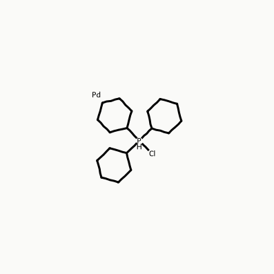 Cl[PH](C1CCCCC1)(C1CCCCC1)C1CCCCC1.[Pd]